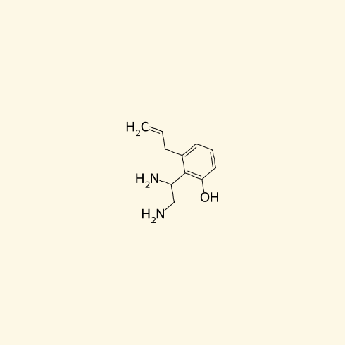 C=CCc1cccc(O)c1C(N)CN